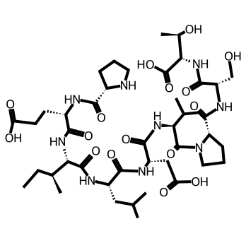 CC[C@H](C)[C@H](NC(=O)[C@H](CCC(=O)O)NC(=O)[C@@H]1CCCN1)C(=O)N[C@@H](CC(C)C)C(=O)N[C@@H](CC(=O)O)C(=O)N[C@H](C(=O)N1CCC[C@H]1C(=O)N[C@@H](CO)C(=O)N[C@H](C(=O)O)[C@@H](C)O)C(C)C